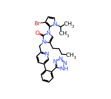 CCCCc1cn(-c2c(Br)ccn2C(C)C)c(=O)n1Cc1ccc(-c2ccccc2-c2nnn[nH]2)cn1